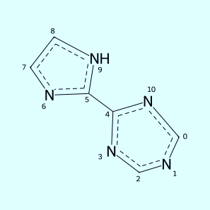 c1ncnc(-c2ncc[nH]2)n1